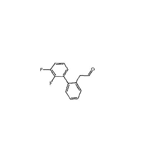 O=CCc1ccccc1-c1cccc(F)c1F